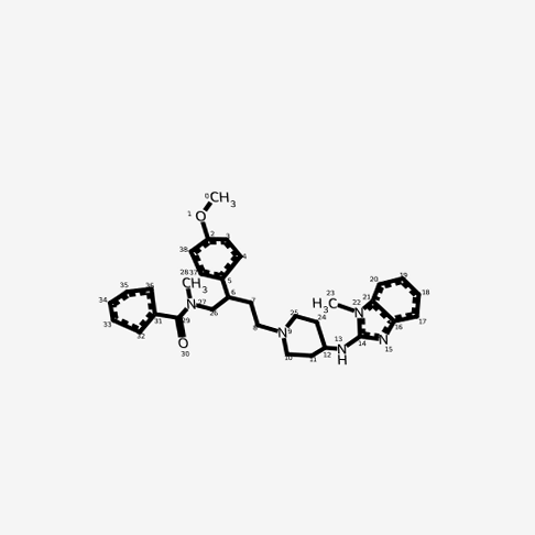 COc1ccc(C(CCN2CCC(Nc3nc4ccccc4n3C)CC2)CN(C)C(=O)c2ccccc2)cc1